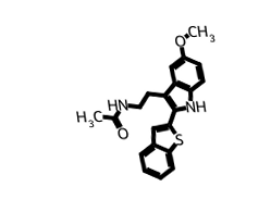 COc1ccc2[nH]c(-c3cc4ccccc4s3)c(CCNC(C)=O)c2c1